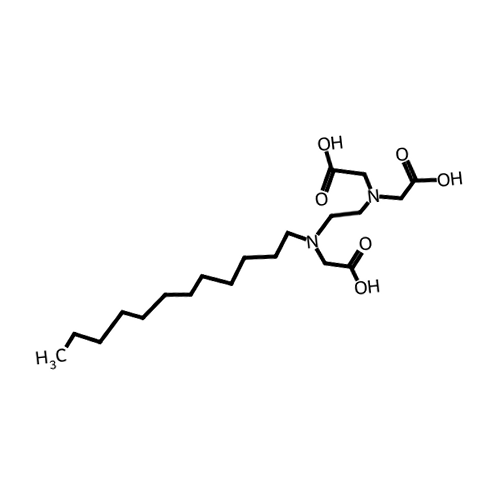 CCCCCCCCCCCCN(CCN(CC(=O)O)CC(=O)O)CC(=O)O